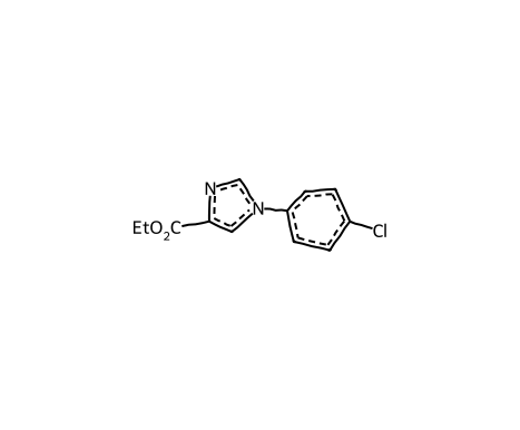 CCOC(=O)c1cn(-c2ccc(Cl)cc2)cn1